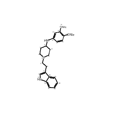 COc1ccc(NC2CCN(CCc3c[nH]c4ccccc34)CC2)cc1OC